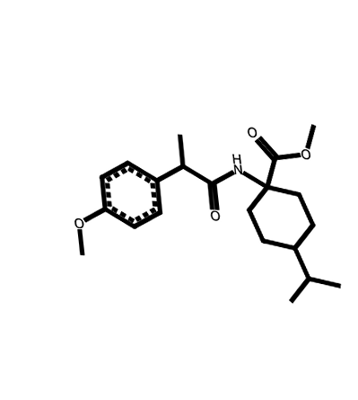 COC(=O)C1(NC(=O)C(C)c2ccc(OC)cc2)CCC(C(C)C)CC1